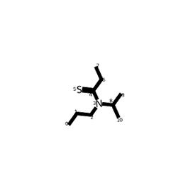 CCCN(C(=S)CC)C(C)C